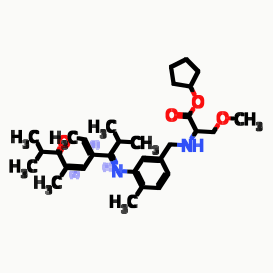 C/C=C(\C=C(\C)C(=O)C(C)C)C(=N/c1cc(CNC(COC)C(=O)OC2CCCC2)ccc1C)/C(C)C